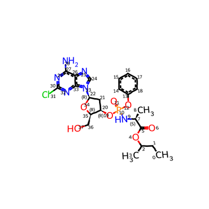 CCC(C)OC(=O)[C@H](C)NP(=O)(Oc1ccccc1)O[C@@H]1C[C@H](n2cnc3c(N)nc(Cl)nc32)O[C@@H]1CO